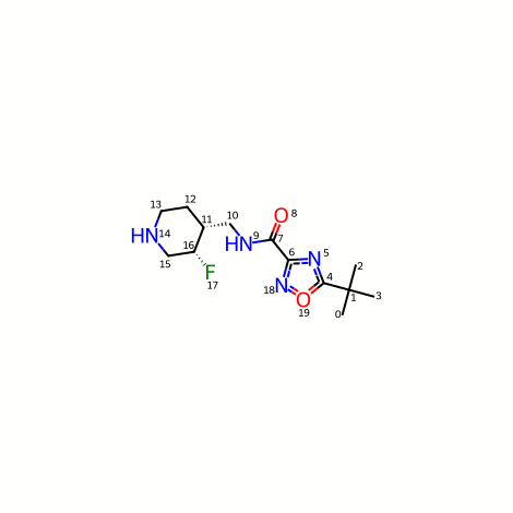 CC(C)(C)c1nc(C(=O)NC[C@H]2CCNC[C@H]2F)no1